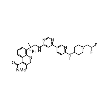 CC[C@](C)(CNc1cc(-c2ccc(N(C)C3CCN(CC(F)F)CC3)nc2)ncn1)c1cccc2c(C(=O)NC)c(F)cnc12